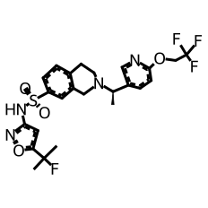 C[C@H](c1ccc(OCC(F)(F)F)nc1)N1CCc2ccc(S(=O)(=O)Nc3cc(C(C)(C)F)on3)cc2C1